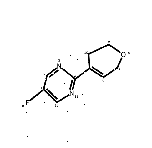 Fc1cnc(C2=CCOCC2)nc1